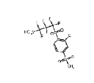 CS(=O)(=O)c1ccc(S(=O)(=O)C(F)(F)C(F)(F)C(F)(F)S(=O)(=O)O)c(Cl)c1